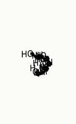 COc1nc(-c2ccnc(-c3cccc(NC(=O)c4cnc(CNCCO)cn4)c3C)c2Cl)ccc1CNCC1CCC(=O)N1